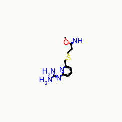 COC(=N)CCSCc1cccc(N=C(N)N)n1